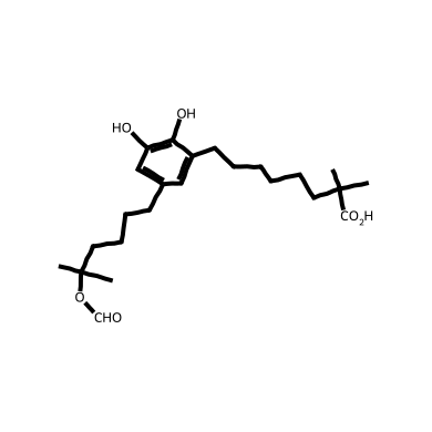 CC(C)(CCCCc1cc(O)c(O)c(CCCCCCC(C)(C)C(=O)O)c1)OC=O